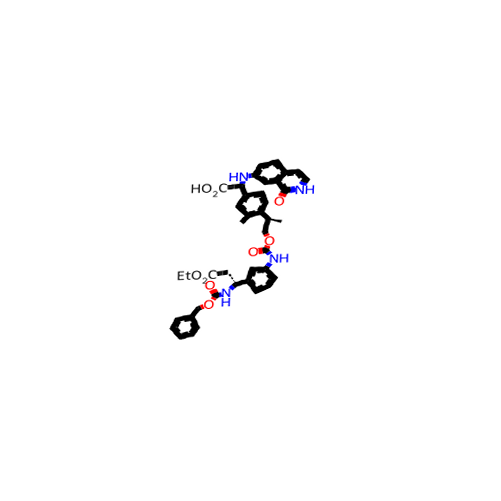 CCOC(=O)C[C@@H](NC(=O)OCc1ccccc1)c1cccc(NC(=O)OC[C@H](C)c2ccc(C(Nc3ccc4cc[nH]c(=O)c4c3)C(=O)O)cc2C)c1